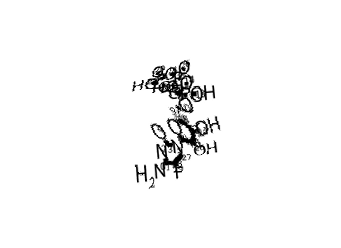 Nc1nc(=O)n([C@@H]2O[C@H](COP(=O)(O)OP(=O)(O)OP(=O)(O)O)[C@@H](O)[C@H]2O)cc1F